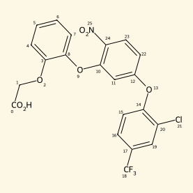 O=C(O)COc1ccccc1Oc1cc(Oc2ccc(C(F)(F)F)cc2Cl)ccc1[N+](=O)[O-]